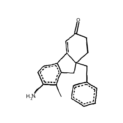 Cc1c(N)ccc2c1CC1(Cc3ccccc3)CCC(=O)C=C21